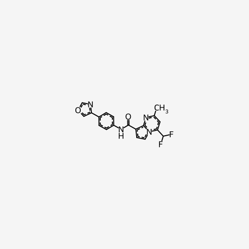 Cc1cc(C(F)F)n2ccc(C(=O)Nc3ccc(-c4cocn4)cc3)c2n1